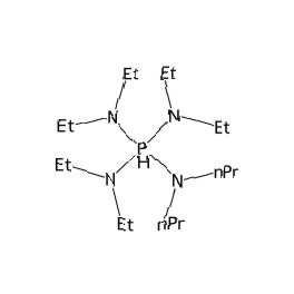 CCCN(CCC)[PH](N(CC)CC)(N(CC)CC)N(CC)CC